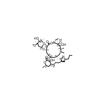 CCCn1cc(CCN(C)[C@H]2C[C@@H](C)O[C@@H](O[C@@H]3C[C@H](O[C@H]4C[C@@](C)(OC)[C@@H](O)[C@H](C)O4)[C@@H](C)C(=O)O[C@H](CC)[C@@](C)(O)[C@H](O)[C@@H](C)N(C)C[C@H](C)C[C@@]3(C)O)[C@@H]2O)nn1